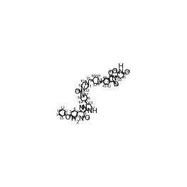 NC(=O)c1c(-c2ccc(Oc3ccccc3)cc2)nn2c1NCCC2C1CCN(C(=O)N2CCN(CC3CCN(c4ccc5c(c4)C(=O)N(C4CCC(=O)NC4=O)C5=O)CC3)CC2)CC1